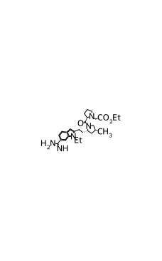 CCOC(=O)CN1CCC[C@@H]1C(=O)N1C[C@@H](C)C[C@@H]1CCc1cc2ccc(C(=N)N)cc2n1CC